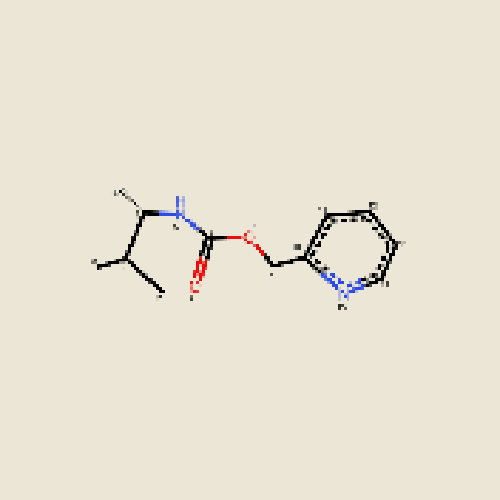 CC(C)[C@H](C)NC(=O)OCc1ccccn1